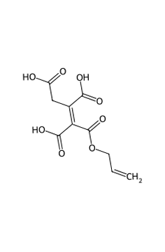 C=CCOC(=O)C(C(=O)O)=C(CC(=O)O)C(=O)O